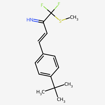 CSC(F)(F)C(=N)/C=C/c1ccc(C(C)(C)C)cc1